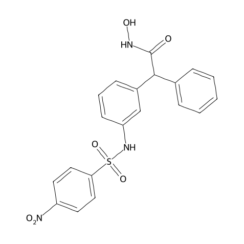 O=C(NO)C(c1ccccc1)c1cccc(NS(=O)(=O)c2ccc([N+](=O)[O-])cc2)c1